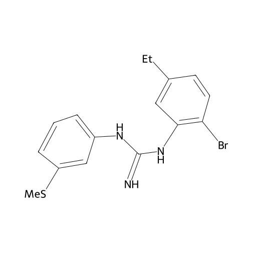 CCc1ccc(Br)c(NC(=N)Nc2cccc(SC)c2)c1